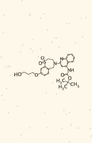 CC(C)(C)OC(=O)Nc1cc(N2CCS(=O)(=O)c3cc(OCCCO)ccc3C2)nc2ccccc12